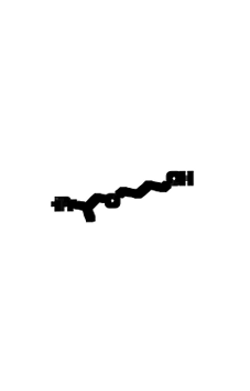 C[C](C)C(C)COCCCCO